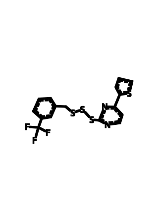 FC(F)(F)c1cccc(CSSSc2nccc(-c3cccs3)n2)c1